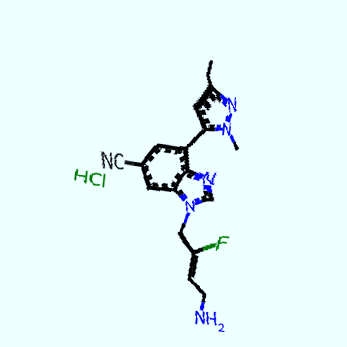 Cc1cc(-c2cc(C#N)cc3c2ncn3CC(F)=CCN)n(C)n1.Cl